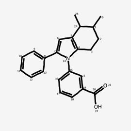 CC1CCc2c(cc(-c3ccccc3)n2-c2cccc(C(=O)O)c2)C1C